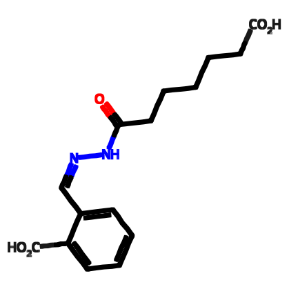 O=C(O)CCCCCC(=O)N/N=C\c1ccccc1C(=O)O